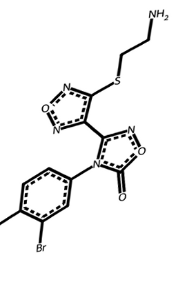 NCCSc1nonc1-c1noc(=O)n1-c1ccc(F)c(Br)c1